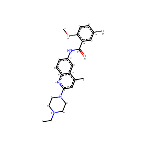 CCN1CCN(c2cc(C)c3cc(NC(=O)c4cc(Cl)ccc4OC)ccc3n2)CC1